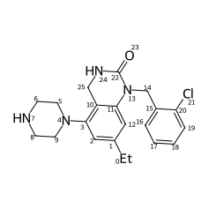 CCc1cc(N2CCNCC2)c2c(c1)N(Cc1ccccc1Cl)C(=O)NC2